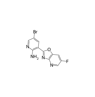 Nc1ncc(Br)cc1-c1nc2ncc(F)cc2o1